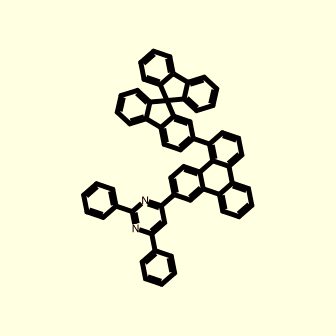 c1ccc(-c2cc(-c3ccc4c(c3)c3ccccc3c3cccc(-c5ccc6c(c5)C5(c7ccccc7-c7ccccc75)c5ccccc5-6)c34)nc(-c3ccccc3)n2)cc1